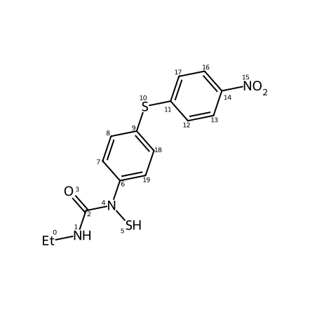 CCNC(=O)N(S)c1ccc(Sc2ccc([N+](=O)[O-])cc2)cc1